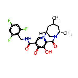 C[C@@H]1C[C@H]2CN(C(=O)c3c(O)c(=O)c(C(=O)NCc4c(F)cc(F)cc4F)cn32)[C@@H](C)C1